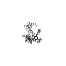 Cc1cn([C@H]2C[C@@H](OC(=O)c3ccc([N+](=O)[O-])cc3CN=[N+]=[N-])[C@@H](COP(=O)(O)OP(=O)(O)OP(=O)(O)O)O2)c(=O)[nH]c1=O